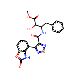 COC(=O)C(O)C(Cc1ccccc1)NC(=O)c1nsnc1-c1cccc2oc(=O)[nH]c12